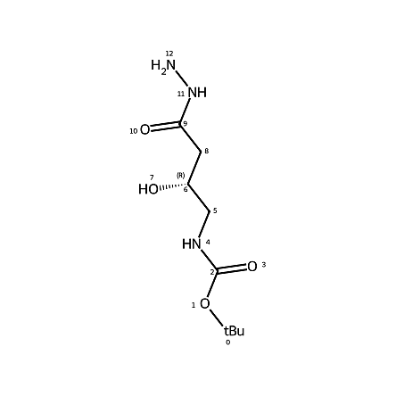 CC(C)(C)OC(=O)NC[C@H](O)CC(=O)NN